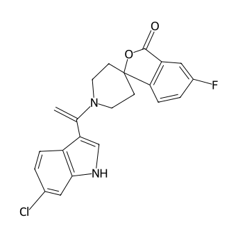 C=C(c1c[nH]c2cc(Cl)ccc12)N1CCC2(CC1)OC(=O)c1cc(F)ccc12